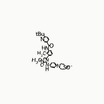 Cc1c(NC(=O)c2ccc(C(C)(C)C)nc2)cccc1-c1cn(C)c(=O)c(Nc2ccc(N3CC[S+]([O-])CC3)cc2)n1